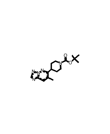 Cc1cc2ncnn2nc1C1CCN(C(=O)OC(C)(C)C)CC1